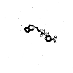 O=C(NCCN1CCc2ccccc2C1)Nc1cccc([N+](=O)[O-])c1